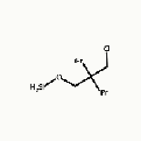 CC(C)C(CCl)(CO[SiH3])C(C)C